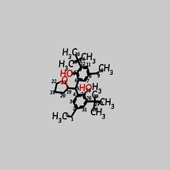 CCc1cc(C(c2cc(CC)cc(C(C)(C)C)c2O)C2CCCO2)c(O)c(C(C)(C)C)c1